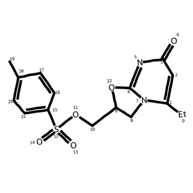 CCc1cc(=O)nc2n1CC(COS(=O)(=O)c1ccc(C)cc1)O2